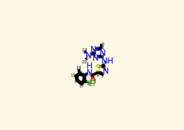 Cc1nc(Nc2ncc(C(=O)Nc3c(C)cccc3Cl)s2)nc(N(C)C)n1